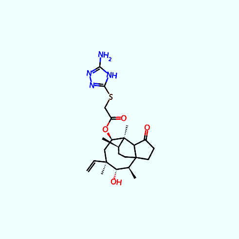 C=C[C@@]1(C)C[C@@H](OC(=O)CSc2nnc(N)[nH]2)[C@@]2(C)C3C(=O)CCC3(CC[C@H]2C)[C@@H](C)[C@@H]1O